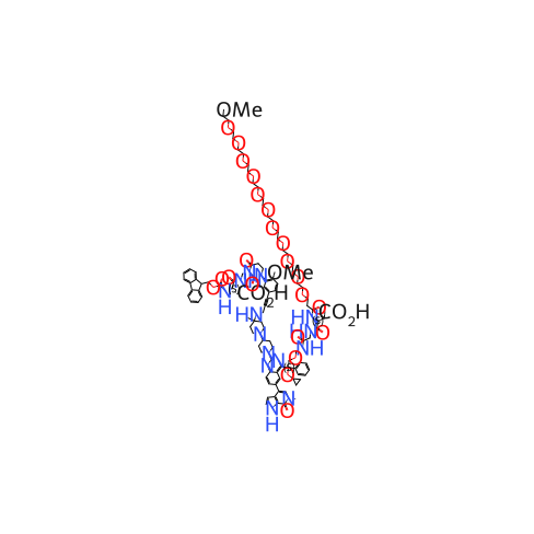 COCCOCCOCCOCCOCCOCCOCCOCCOCCOCCOCCOCCC(=O)N[C@@H](CC(=O)O)C(=O)NCC(=O)NCOC[C@](OC1CC1)(c1ccccc1)c1nc(N2CCC(N3CCC(C)(NCC#Cc4ccc(OC)c(N5CCC(=O)N(CNC(=O)[C@H](CC(=O)O)NC(=O)OCC6c7ccccc7-c7ccccc76)C5=O)c4)CC3)CC2)nc2ccc(-c3cn(C)c(=O)c4[nH]ccc34)cc12